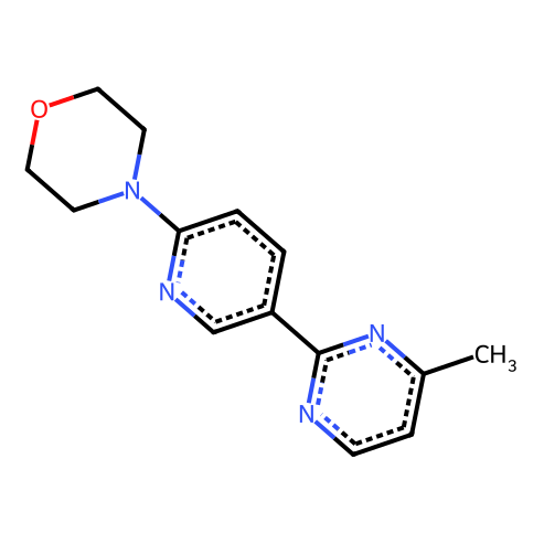 Cc1ccnc(-c2ccc(N3CCOCC3)nc2)n1